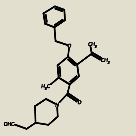 C=C(C)c1cc(C(=O)N2CCC(CC=O)CC2)c(C)cc1OCc1ccccc1